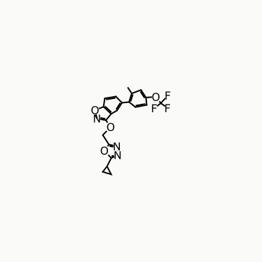 Cc1cc(OC(F)(F)F)ccc1-c1ccc2onc(OCc3nnc(C4CC4)o3)c2c1